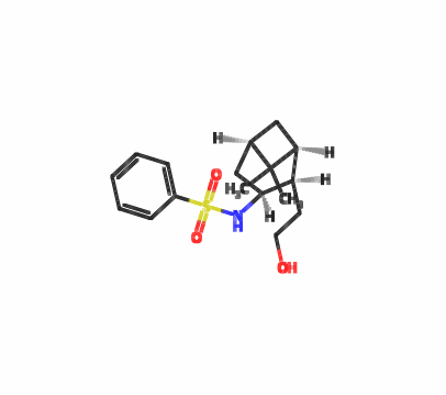 CC1(C)[C@H]2C[C@H](NS(=O)(=O)c3ccccc3)[C@H](CCO)[C@@H]1C2